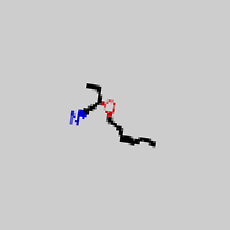 CC/C=C\CCOC(C#N)CC